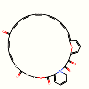 O=C1/C=C\C=CCC(=O)CCOC(=O)C2=CC=CCN2C(=O)C(=O)C2=CC=C\C(=C/C=C\C=C/C=C\C=C/C=C\1)O2